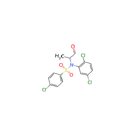 CC(C=O)N(c1cc(Cl)ccc1Cl)S(=O)(=O)c1ccc(Cl)cc1